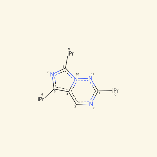 CC(C)c1ncc2c(C(C)C)nc(C(C)C)n2n1